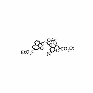 CCOC(=O)c1cc(=O)c2c(OCC(COc3cc([N+](C)(C)C)cc4oc(C(=O)OCC)cc(=O)c34)OC(C)=O)cccc2o1